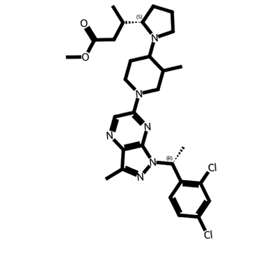 COC(=O)CC(C)[C@@H]1CCCN1C1CCN(c2cnc3c(C)nn([C@H](C)c4ccc(Cl)cc4Cl)c3n2)CC1C